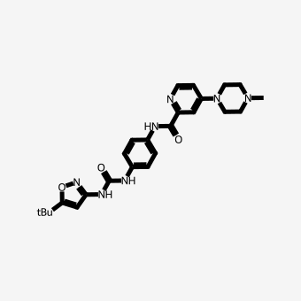 CN1CCN(c2ccnc(C(=O)Nc3ccc(NC(=O)Nc4cc(C(C)(C)C)on4)cc3)c2)CC1